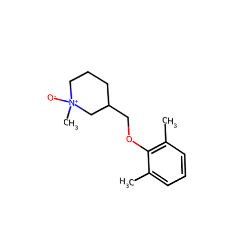 Cc1cccc(C)c1OCC1CCC[N+](C)([O-])C1